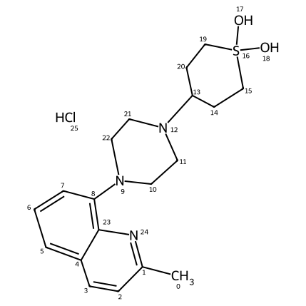 Cc1ccc2cccc(N3CCN(C4CCS(O)(O)CC4)CC3)c2n1.Cl